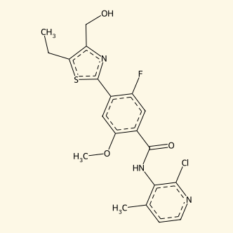 CCc1sc(-c2cc(OC)c(C(=O)Nc3c(C)ccnc3Cl)cc2F)nc1CO